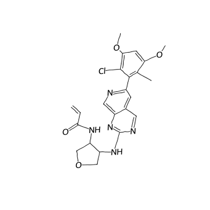 C=CC(=O)NC1COCC1Nc1ncc2cc(-c3c(C)c(OC)cc(OC)c3Cl)ncc2n1